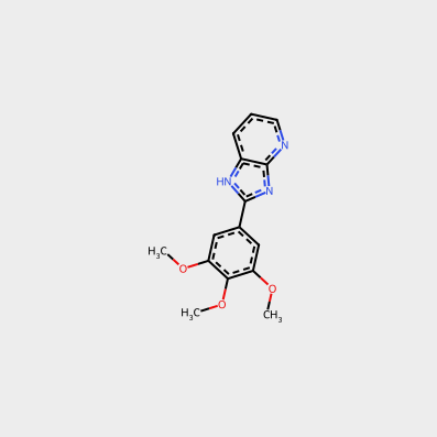 COc1cc(-c2nc3ncccc3[nH]2)cc(OC)c1OC